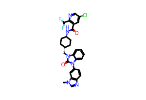 Cn1cnc2ccc(-n3c(=O)n(C[C@H]4CC[C@H](NC(=O)c5cc(Cl)cnc5C(F)F)CC4)c4ccccc43)cc21